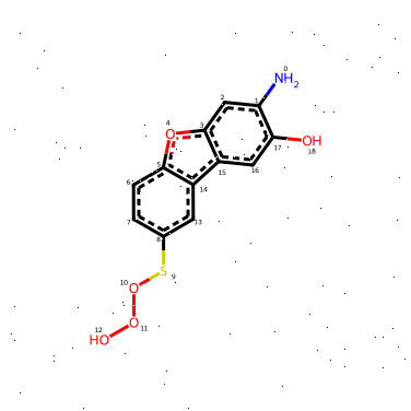 Nc1cc2oc3ccc(SOOO)cc3c2cc1O